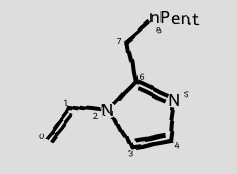 C=Cn1ccnc1CCCCCC